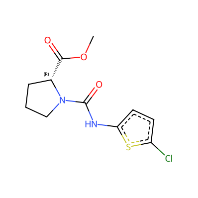 COC(=O)[C@H]1CCCN1C(=O)Nc1ccc(Cl)s1